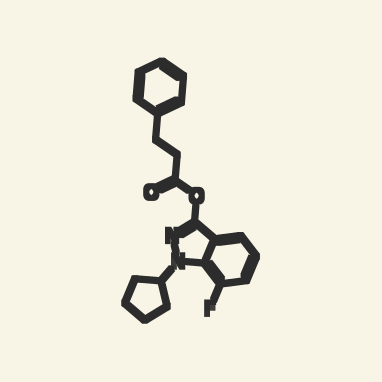 O=C(CCc1ccccc1)Oc1nn(C2CCCC2)c2c(F)cccc12